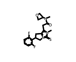 CN(C(=O)Cc1c2n(c(=S)n1C)CC(c1c(F)cccc1F)C2)C1COC1